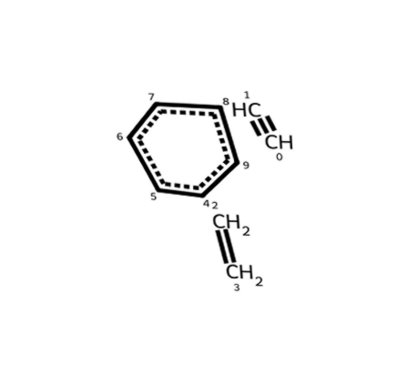 C#C.C=C.c1ccccc1